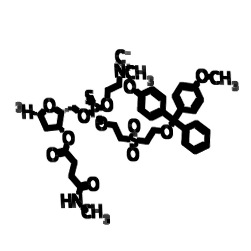 [3H][C@H]1C[C@H](OC(=O)CCC(=O)NC)[C@@H](COP(=S)(OCC[N+]#[C-])OCCS(=O)(=O)CCOC(c2ccccc2)(c2ccc(OC)cc2)c2ccc(OC)cc2)O1